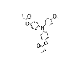 C=CC(=O)Oc1ccc(N(c2ccc(OC)cc2)c2ccc(OC(=O)C=C)cc2)cc1